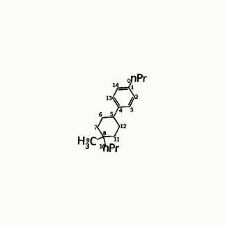 CCCc1ccc(C2CCC(C)(CCC)CC2)cc1